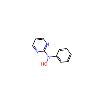 ON(c1ccccc1)c1ncccn1